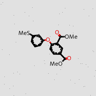 COC(=O)c1ccc(Oc2cccc(SC)c2)c(C(=O)OC)c1